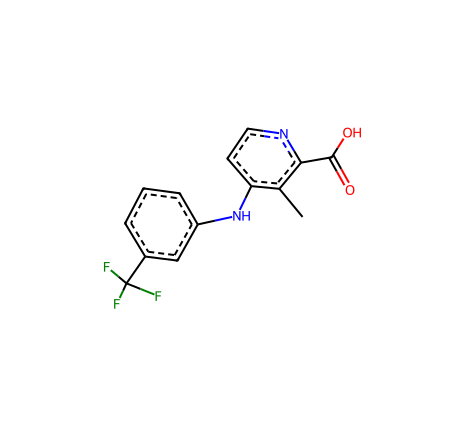 Cc1c(Nc2cccc(C(F)(F)F)c2)ccnc1C(=O)O